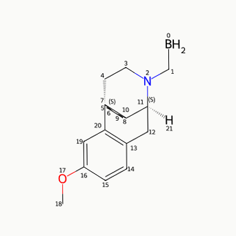 BCN1CC[C@@]23CCCCC2[C@@H]1Cc1ccc(OC)cc13